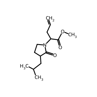 C=CCC(C(=O)OC)N1CCC(CC(C)C)C1=O